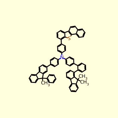 CC1(C)c2ccccc2-c2cccc(-c3ccccc3-c3ccc(N(c4ccc(-c5ccc6c(c5)C(C)(c5ccccc5)c5ccccc5-6)cc4)c4ccc(-c5cccc6c5sc5c7ccccc7ccc65)cc4)cc3)c21